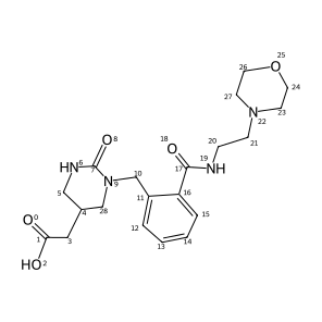 O=C(O)CC1CNC(=O)N(Cc2ccccc2C(=O)NCCN2CCOCC2)C1